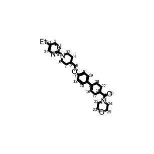 CCc1cnc(N2CCC(COc3ccc(C4=CCC(C(=O)N5CCOCC5)CC4)cc3)CC2)nc1